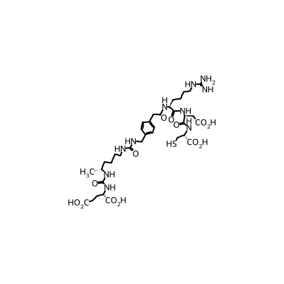 C[C@H](CCCCNC(=O)NCc1ccc(CC(=O)N[C@@H](CCCCNC(=N)N)C(=O)N[C@@H](CC(=O)O)C(=O)N[C@@H](CS)C(=O)O)cc1)NC(=O)N[C@@H](CCC(=O)O)C(=O)O